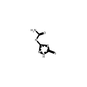 NC(=O)[N]c1n[nH]c(=S)s1